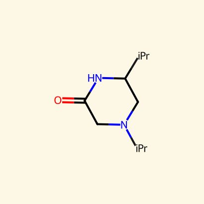 CC(C)C1CN(C(C)C)CC(=O)N1